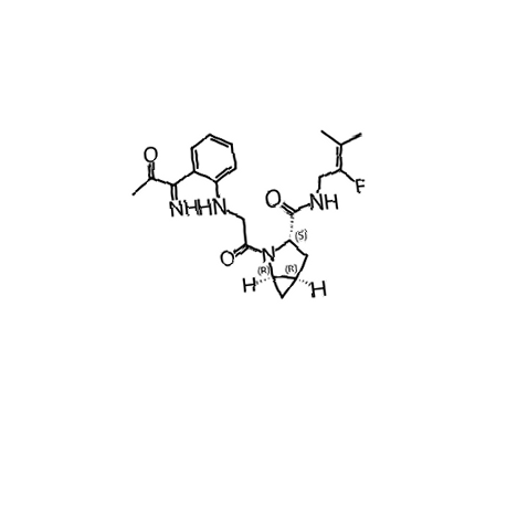 CC(=O)C(=N)c1ccccc1NCC(=O)N1[C@@H]2C[C@@H]2C[C@H]1C(=O)NCC(F)=C(C)C